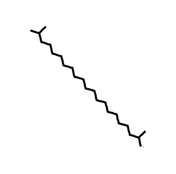 [CH2]C(C)CCCCCCCCCCCCCCCCCC(C)C